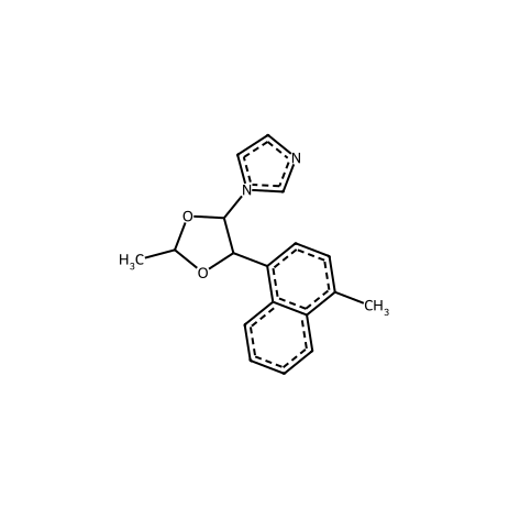 Cc1ccc(C2OC(C)OC2n2ccnc2)c2ccccc12